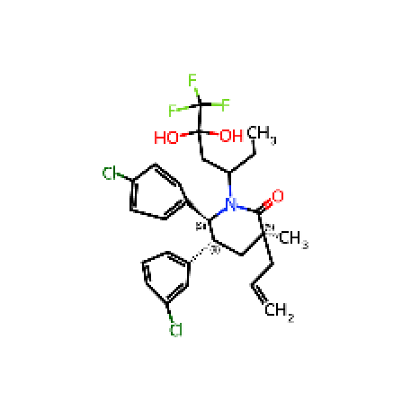 C=CC[C@@]1(C)C[C@H](c2cccc(Cl)c2)[C@@H](c2ccc(Cl)cc2)N(C(CC)CC(O)(O)C(F)(F)F)C1=O